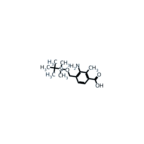 Cc1c(C(=O)O)ccc(CO[Si](C)(C)C(C)(C)C)c1N